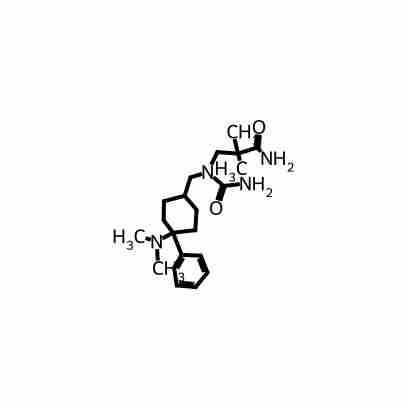 CN(C)C1(c2ccccc2)CCC(CN(CC(C)(C)C(N)=O)C(N)=O)CC1